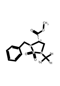 [2H]C([2H])([2H])N1C[C@@H](C(=O)OC)N(Cc2ccccc2)S1(=O)=O